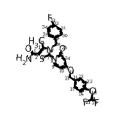 CC1=C(C(N)=O)SC(n2ccc(OCc3ccc(OC(F)F)cc3)cc2=O)N1Cc1ccc(F)cc1